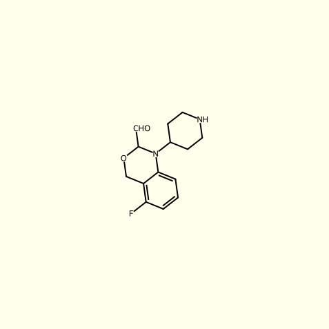 O=CC1OCc2c(F)cccc2N1C1CCNCC1